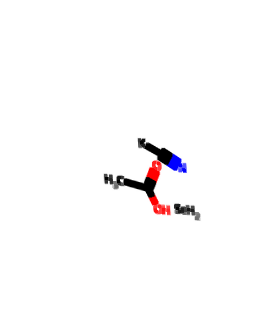 CC(=O)O.N#[C][K].[SeH2]